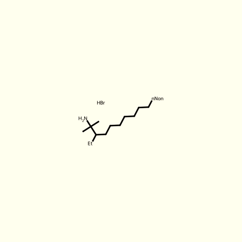 Br.CCCCCCCCCCCCCCCCC(CC)C(C)(C)N